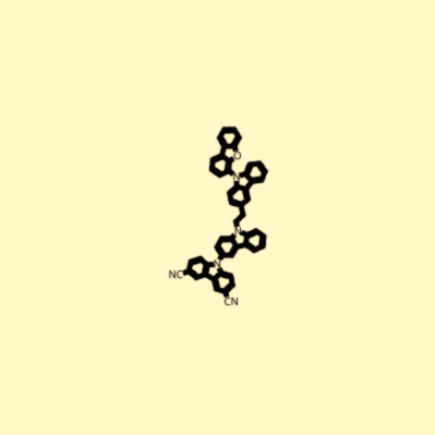 N#Cc1ccc2c(c1)c1cc(C#N)ccc1n2-c1ccc2c(c1)c1ccccc1n2CCc1ccc2c(c1)c1ccccc1n2-c1cccc2c1oc1ccccc12